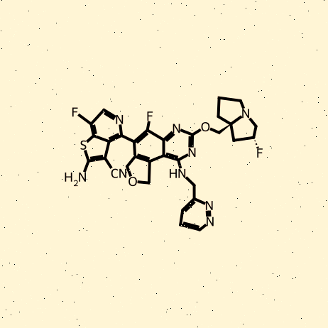 N#Cc1c(N)sc2c(F)cnc(-c3c4c(c5c(NCc6cccnn6)nc(OC[C@@]67CCCN6C[C@H](F)C7)nc5c3F)COC4)c12